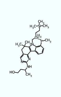 CC(CCO)Nc1ncc2c(n1)-c1c(n(COCC[Si](C)(C)C)c3c(P(C)C)cccc13)C(C)(C)C2